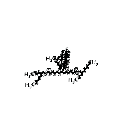 CCCCCCC(CCCC)COC(=O)CCCCCC(CCCCCC(=O)OCC(CCCC)CCCCCC)N(CCCCCN(C)C)C(=O)C(F)(F)C(F)(F)C(F)(F)C(F)(F)C(F)(F)C(F)(F)C(F)(F)F